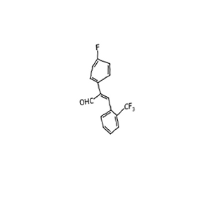 O=C/C(=C\c1ccccc1C(F)(F)F)c1ccc(F)cc1